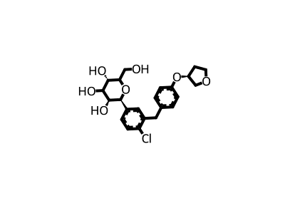 OCC1O[C@@H](c2ccc(Cl)c(Cc3ccc(O[C@H]4CCOC4)cc3)c2)[C@@H](O)C(O)[C@@H]1O